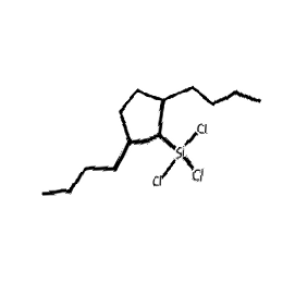 CCCCC1CCC(CCCC)C1[Si](Cl)(Cl)Cl